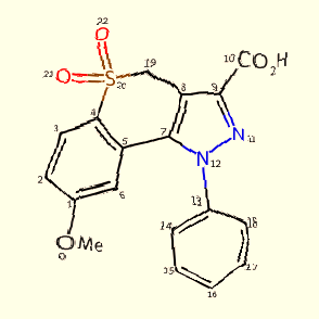 COc1ccc2c(c1)-c1c(c(C(=O)O)nn1-c1ccccc1)CS2(=O)=O